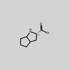 CCC(=O)[C@@H]1CC2CCCC2N1